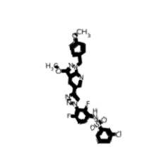 COc1ccc(Cn2nc(OC)c3cc(-c4cn(-c5c(F)ccc(NS(=O)(=O)c6cccc(Cl)c6)c5F)nn4)cnc32)cc1